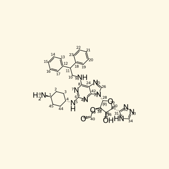 N[C@H]1CC[C@H](Nc2nc(NCC(c3ccccc3)c3ccccc3)c3ncn([C@@H]4O[C@H](c5nnc[nH]5)[C@@H](O)[C@H]4OC=O)c3n2)CC1